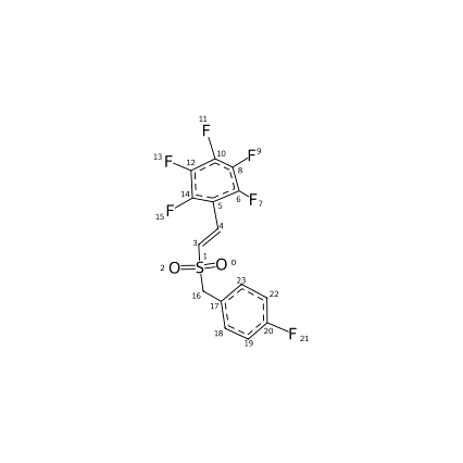 O=S(=O)(C=Cc1c(F)c(F)c(F)c(F)c1F)Cc1ccc(F)cc1